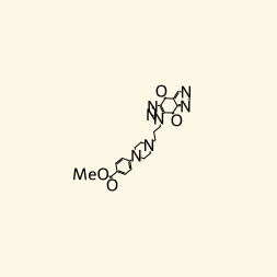 COC(=O)c1ccc(N2CCN(CCCn3nnc4c3C(=O)c3ncncc3C4=O)CC2)cc1